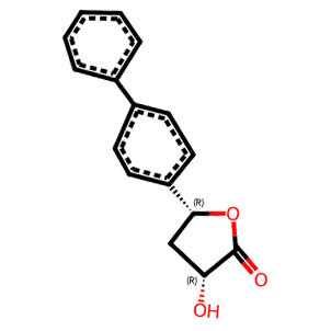 O=C1O[C@@H](c2ccc(-c3ccccc3)cc2)C[C@H]1O